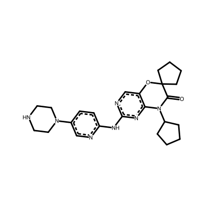 O=C1N(C2CCCC2)c2nc(Nc3ccc(N4CCNCC4)cn3)ncc2OC12CCCC2